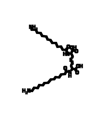 NCCCCCCCCCCCCCC(=O)NC(CSSCC(NC(=O)CCCCCCCCCCCCCN)C(=O)O)C(=O)O